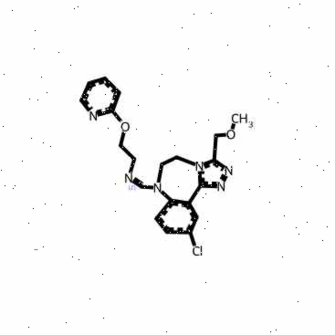 COCc1nnc2n1CCN(/C=N\CCOc1ccccn1)c1ccc(Cl)cc1-2